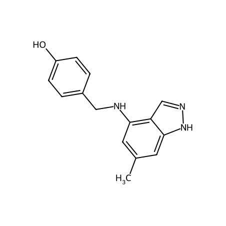 Cc1cc(NCc2ccc(O)cc2)c2cn[nH]c2c1